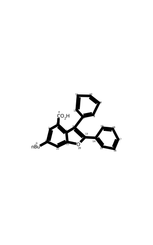 CCCCc1cc(C(=O)O)c2c(-c3ccccc3)c(-c3ccccc3)oc2c1